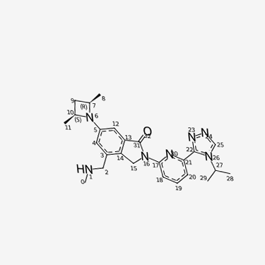 CNCc1cc(N2[C@H](C)C[C@@H]2C)cc2c1CN(c1cccc(-c3nncn3C(C)C)n1)C2=O